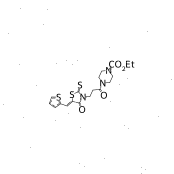 CCOC(=O)N1CCN(C(=O)CCN2C(=O)/C(=C/c3cccs3)SC2=S)CC1